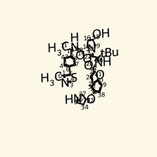 Cc1ncsc1-c1ccc(C(C)NC(=O)[C@@H]2C[C@@H](O)CN2C(=O)C(NC(=O)c2cc3cc(OC4CCNC4)ccc3o2)C(C)(C)C)cc1